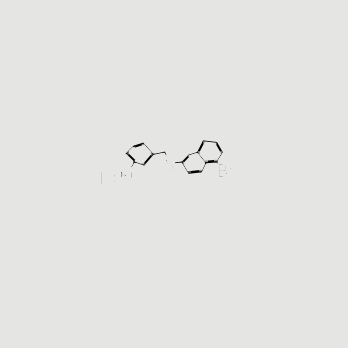 COc1cccc(CSc2ccc3c(Br)cccc3c2)c1